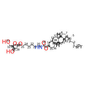 CC(C)CCC[C@@H](C)[C@H]1CC[C@@H]2C3CC=C4C[C@@H](OC(=O)NCCCCCCO[C@@H]5C[C@H](O)[C@@H](CO)O5)CC[C@]4(C)[C@@H]3CC[C@@]21C